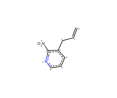 C=CCc1cccnc1[N+](=O)[O-]